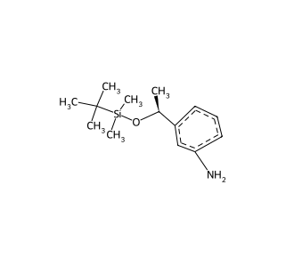 C[C@H](O[Si](C)(C)C(C)(C)C)c1cccc(N)c1